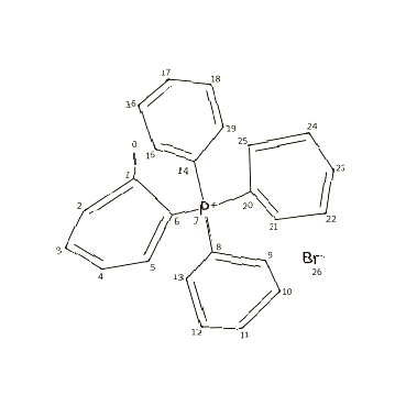 Ic1ccccc1[P+](c1ccccc1)(c1ccccc1)c1ccccc1.[Br-]